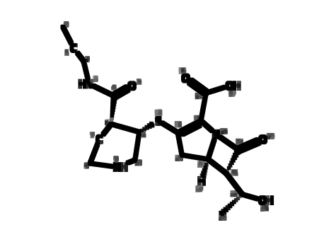 CCCNC(=O)[C@H]1CCNC[C@H]1SC1=C(C(=O)O)N2C(=O)[C@H]([C@@H](C)O)[C@H]2C1